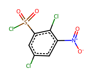 O=[N+]([O-])c1cc(Cl)cc(S(=O)(=O)Cl)c1Cl